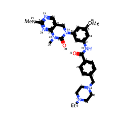 CCN1CCN(Cc2ccc(C(=O)Nc3cc(OC)cc(N4Cc5cnc(NC)nc5N(C)C4=O)c3)cc2)CC1